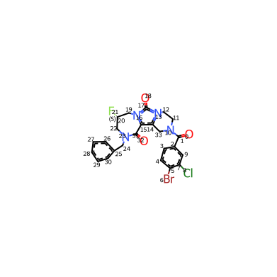 O=C(c1ccc(Br)c(Cl)c1)N1CCn2c(c3n(c2=O)C[C@@H](F)CN(Cc2ccccc2)C3=O)C1